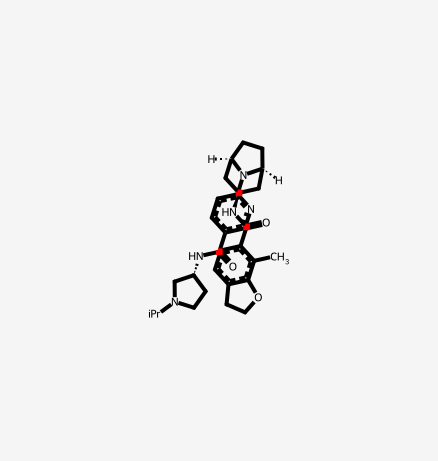 Cc1c(C(=O)N[C@H]2C[C@H]3CC[C@@H](C2)N3c2ccc(C(=O)N[C@@H]3CCN(C(C)C)C3)cn2)ccc2c1OCC2